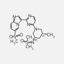 C[C@H]1C[C@@H](N=S(C)(C)=O)CN(c2ccnc(-c3cnc4ccc(S(C)(=O)=O)cn34)n2)C1